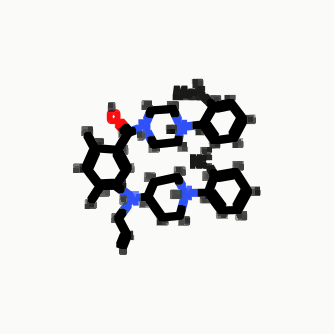 C=CCN(c1cc(C(=O)N2CCN(c3ccccc3SC)CC2)c(C)cc1C)C1CCN(c2ccccc2C#N)CC1